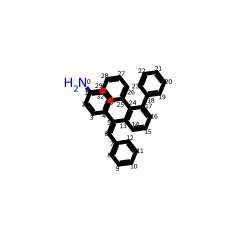 Nc1ccc(C(=Cc2ccccc2)c2cccc(-c3ccccc3)c2-c2ccccc2)cc1